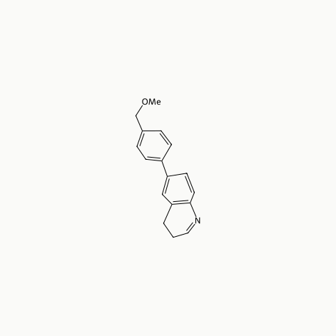 COCc1ccc(-c2ccc3c(c2)CCC=N3)cc1